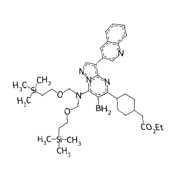 Bc1c(C2CCC(CC(=O)OCC)CC2)nc2c(-c3cnc4ccccc4c3)cnn2c1N(COCC[Si](C)(C)C)COCC[Si](C)(C)C